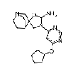 NC1OC2(CN3CCC2CC3)CN1c1cc(OC2CCCC2)ncn1